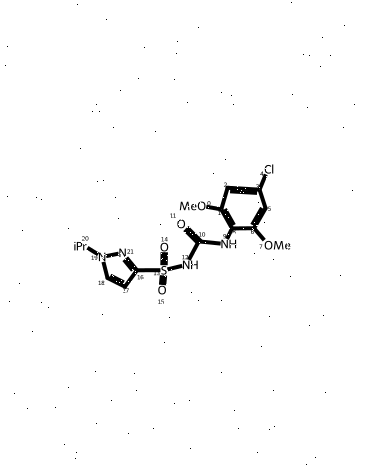 COc1cc(Cl)cc(OC)c1NC(=O)NS(=O)(=O)c1ccn(C(C)C)n1